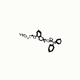 O=C(O)COc1cccc2c1CCC(F)(COC(=O)N(c1ccccc1)c1ccccc1)C2